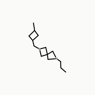 CCCN1CC2(C1)CN(CC1CC(C)C1)C2